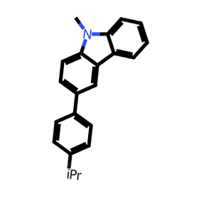 CC(C)c1ccc(-c2ccc3c(c2)c2ccccc2n3C)cc1